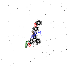 FC(F)Oc1ccc(C2=NN(C(=S)Nc3ccc(Oc4ccccc4)cc3)CC2c2ccccc2)cc1